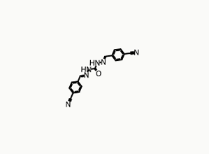 N#Cc1ccc(/C=N/NC(=O)N/N=C/c2ccc(C#N)cc2)cc1